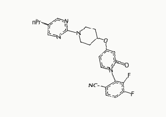 CCCc1cnc(N2CCC(Oc3ccn(-c4c(C#N)ccc(F)c4F)c(=O)c3)CC2)nc1